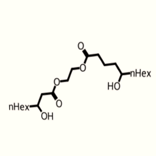 CCCCCCC(O)CCCC(=O)OCCOC(=O)CC(O)CCCCCC